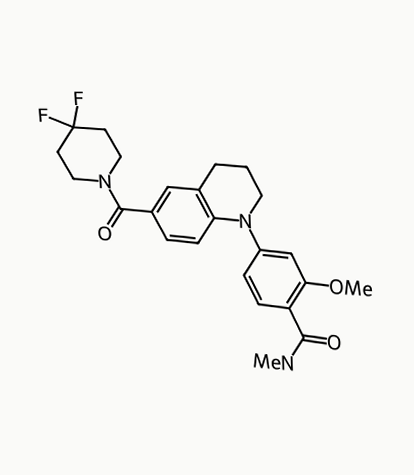 CNC(=O)c1ccc(N2CCCc3cc(C(=O)N4CCC(F)(F)CC4)ccc32)cc1OC